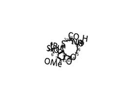 COc1cc(O[Si](C)(C)C(C)(C)C)c2c(c1)C(=O)OCCC(=O)N[C@H](C(=O)O)CSC2